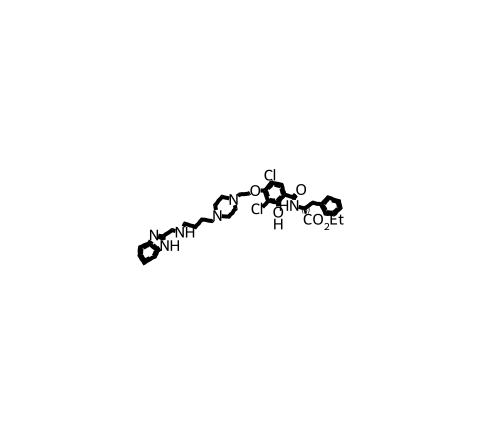 CCOC(=O)[C@H](Cc1ccccc1)NC(=O)c1cc(Cl)c(OCCN2CCN(CCCCNCc3nc4ccccc4[nH]3)CC2)c(Cl)c1O